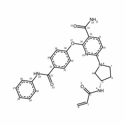 C=CC(=O)N[C@H]1CCN(c2ccc(C(N)=O)c(Oc3ccc(C(=O)Nc4ccccc4)cc3)n2)C1